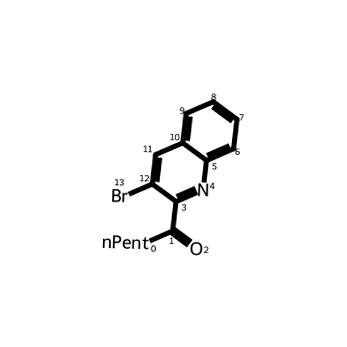 CCCCCC(=O)c1nc2ccccc2cc1Br